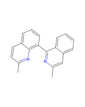 Cc1cc2ccccc2c(-c2cccc3ccc(C)nc23)n1